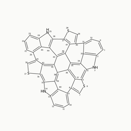 c1cc2[nH]c3c4scc5c6cccc7[nH]c8c9scc%10c%11cccc%12[nH]c%13c%14scc%15c(c1)c2c3c1c(c54)c(c8c76)c(c%109)c(c%13c%12%11)c1c%15%14